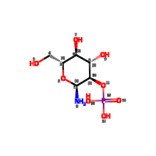 N[C@H]1O[C@H](CO)[C@@H](O)[C@H](O)[C@H]1OP(=O)(O)O